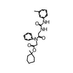 Cc1cccc(NC(=O)NCC(=O)N(CC(=O)OC2(C)CCCCC2)c2ccccc2)c1